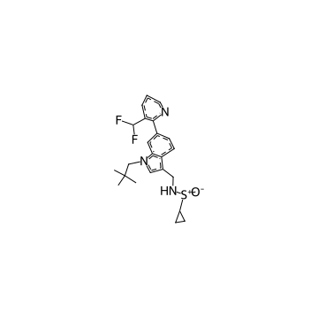 CC(C)(C)Cn1cc(CN[S+]([O-])C2CC2)c2ccc(-c3ncccc3C(F)F)cc21